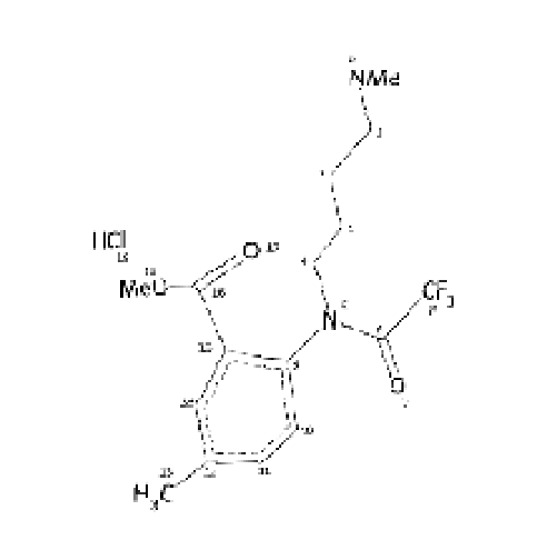 CNCCCCN(C(=O)C(F)(F)F)c1ccc(C)cc1C(=O)OC.Cl